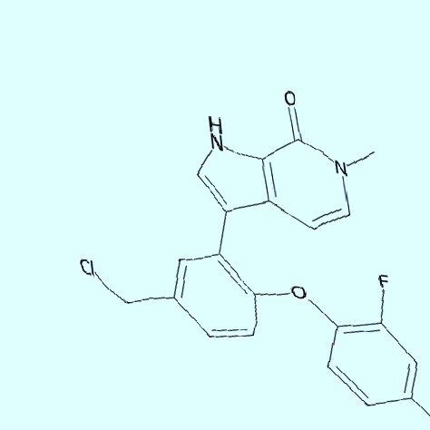 Cn1ccc2c(-c3cc(CCl)ccc3Oc3ccc(F)cc3F)c[nH]c2c1=O